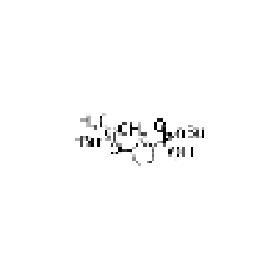 CCCCP(=O)(O)C1=CC(O[Si](C)(C)C(C)(C)C)CC1